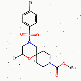 CCc1ccc(S(=O)(=O)N2CC(CC)OC3(CCN(C(=O)OC(C)(C)C)CC3)C2)cc1